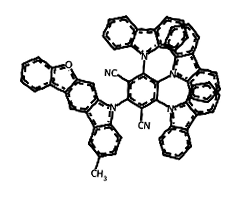 Cc1ccc2c(c1)c1cc3c(cc1n2-c1c(C#N)c(-n2c4ccccc4c4ccccc42)c(-n2c4ccccc4c4ccccc42)c(-n2c4ccccc4c4ccccc42)c1C#N)oc1ccccc13